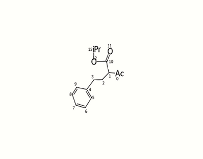 CC(=O)C(CCc1ccccc1)C(=O)OC(C)C